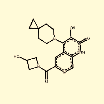 N#Cc1c(N2CCC3(CC2)CC3)c2cc(C(=O)N3CC(O)C3)ncc2[nH]c1=O